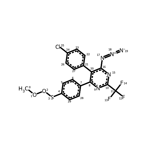 COOSc1ccc(-c2nc(C(F)(F)F)nc(N=[N+]=[N-])c2-c2ccc(Cl)cc2)cc1